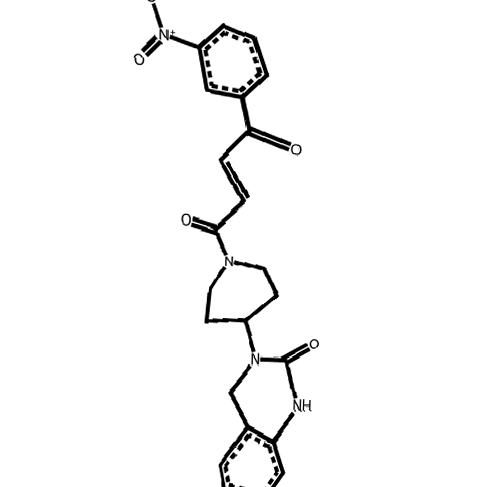 O=C(C=CC(=O)N1CCC(N2Cc3ccccc3NC2=O)CC1)c1cccc([N+](=O)[O-])c1